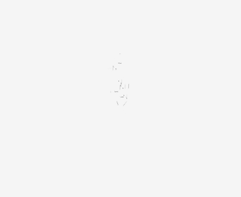 CC(C)(C)OC(=O)NC1CCN(NC(=O)c2ccc(Cl)cn2)CC1